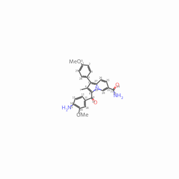 COc1ccc(-c2c(C)c(C(=O)c3ccc(N)c(OC)c3)n3cc(C(N)=O)ccc23)cc1